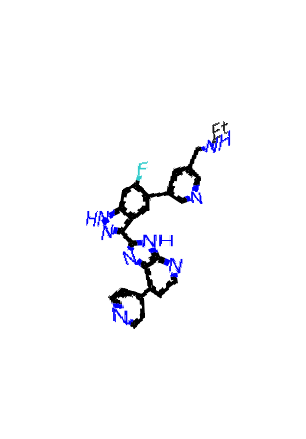 CCNCc1cncc(-c2cc3c(-c4nc5c(-c6ccncc6)ccnc5[nH]4)n[nH]c3cc2F)c1